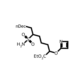 CCCCCCCCCCCC(CCCC(OC1=NC=C1)C(=O)OCC)S(N)(=O)=O